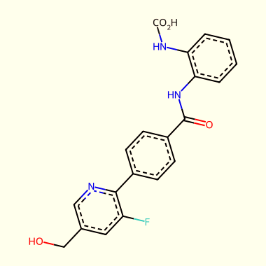 O=C(O)Nc1ccccc1NC(=O)c1ccc(-c2ncc(CO)cc2F)cc1